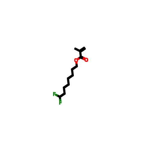 C=C(C)C(=O)OCCCCCCCC(F)F